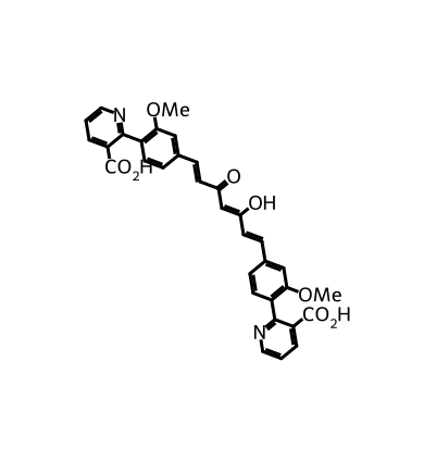 COc1cc(C=CC(=O)C=C(O)C=Cc2ccc(-c3ncccc3C(=O)O)c(OC)c2)ccc1-c1ncccc1C(=O)O